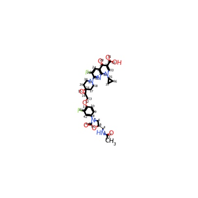 CC(=O)NC[C@H]1CN(c2ccc(OCC3OC34CCN(c3nc5c(cc3F)c(=O)c(C(=O)O)cn5C3CC3)CC4)c(F)c2)C(=O)O1